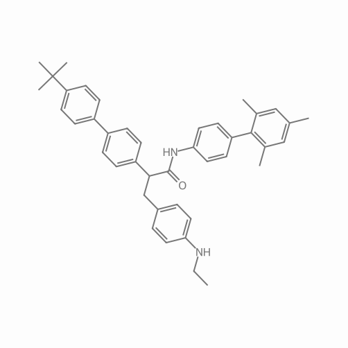 CCNc1ccc(CC(C(=O)Nc2ccc(-c3c(C)cc(C)cc3C)cc2)c2ccc(-c3ccc(C(C)(C)C)cc3)cc2)cc1